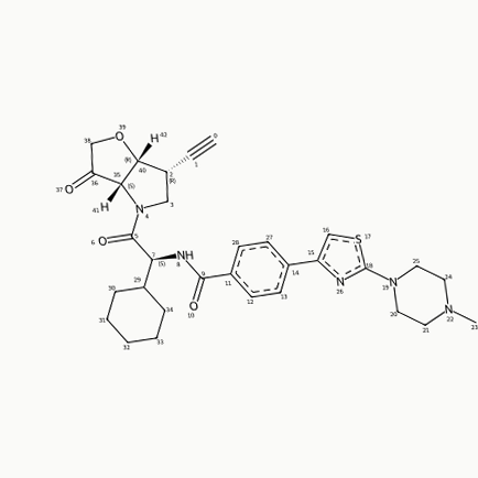 C#C[C@@H]1CN(C(=O)[C@@H](NC(=O)c2ccc(-c3csc(N4CCN(C)CC4)n3)cc2)C2CCCCC2)[C@@H]2C(=O)CO[C@H]12